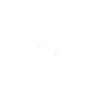 CC(CF)OC(=O)N[C@@H](CC1(F)CCCC1)C(=O)NC1(C(=O)C(=O)Nc2ccn(C)n2)CCC1